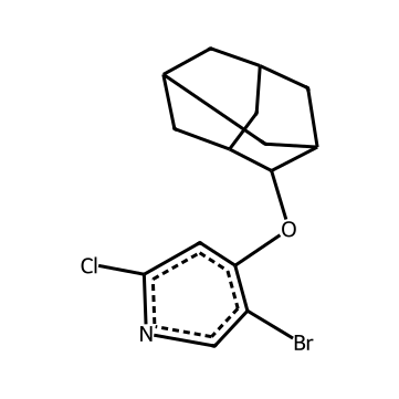 Clc1cc(OC2C3CC4CC(C3)CC2C4)c(Br)cn1